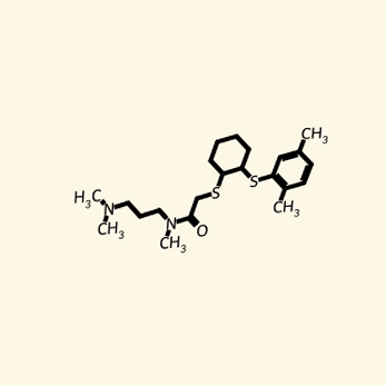 Cc1ccc(C)c(SC2CCCCC2SCC(=O)N(C)CCCN(C)C)c1